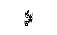 O=C(NC1(C2CCC2)CCC1)N1CCC2(CCn3nc(-c4cnc5ccccc5c4)cc32)C1